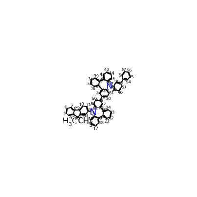 CC1(C)c2ccccc2-c2ccc(N3c4ccccc4-c4ccccc4-c4cc(-c5ccc6c(c5)-c5ccccc5-c5ccccc5N6c5cccc(-c6ccccc6)c5)ccc43)cc21